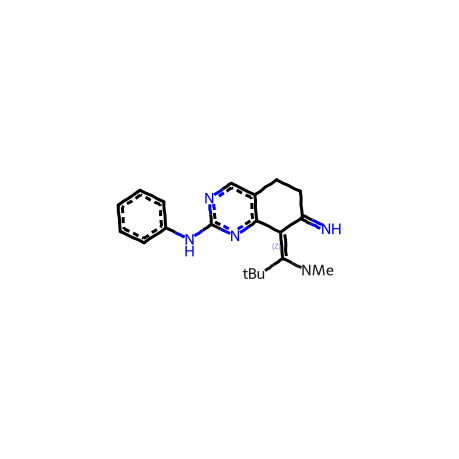 CN/C(=C1\C(=N)CCc2cnc(Nc3ccccc3)nc21)C(C)(C)C